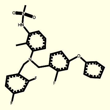 Cc1c(NS(C)(=O)=O)cccc1N(Cc1ccc(F)cc1F)Cc1ccc(Oc2ccccc2)cc1F